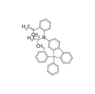 C=C(C)c1ccccc1N(c1ccc2c(c1)C(c1ccccc1)(c1ccccc1)c1ccccc1-2)C(C)C